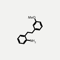 COc1cccc(CCc2ccccc2N)c1